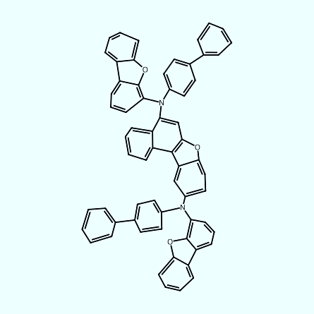 c1ccc(-c2ccc(N(c3ccc4oc5cc(N(c6ccc(-c7ccccc7)cc6)c6cccc7c6oc6ccccc67)c6ccccc6c5c4c3)c3cccc4c3oc3ccccc34)cc2)cc1